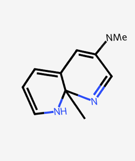 CNC1=CC2=CC=CNC2(C)N=C1